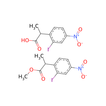 CC(C(=O)O)c1ccc([N+](=O)[O-])cc1I.COC(=O)C(C)c1ccc([N+](=O)[O-])cc1I